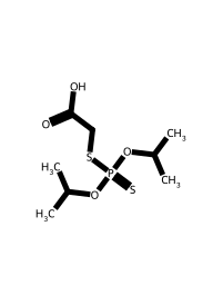 CC(C)OP(=S)(OC(C)C)SCC(=O)O